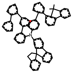 CC1(C)c2ccccc2-c2cccc(-c3ccccc3-c3ccc(N(c4ccc5c(c4)C4(CCc6ccccc64)c4ccccc4-5)c4ccccc4-c4cccc(-c5ccccc5-c5ccccc5)c4)cc3)c21